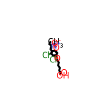 CCC(=Cc1ccc(OCCCCCC(=O)O)c(Cl)c1Cl)[N+](=O)[O-]